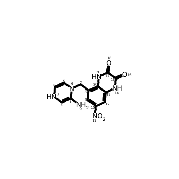 NC1=CNC=CN1Cc1cc([N+](=O)[O-])cc2[nH]c(=O)c(=O)[nH]c12